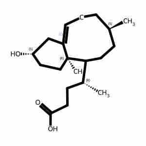 C[C@@H]1CC/C=C2/C[C@@H](O)CC[C@]2(C)C([C@H](C)CCC(=O)O)CC1